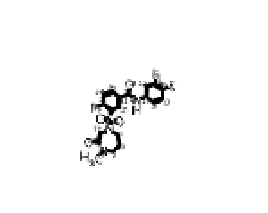 CN1CCCN(S(=O)(=O)c2cc(C(=O)Nc3ccc(F)c(F)c3)ccc2F)CC1=O